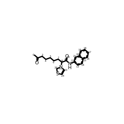 CC(=O)CCCCCC(C(=O)Nc1ccc2ccccc2c1)N1C=CSC1